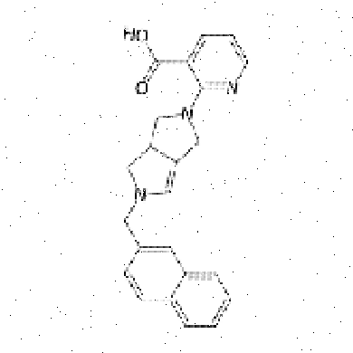 O=C(O)c1cccnc1N1CC2=CN(Cc3ccc4ccccc4c3)CC2C1